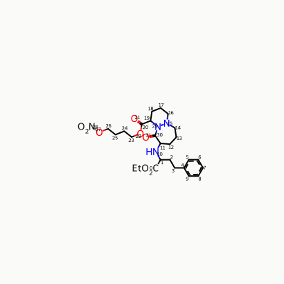 CCOC(=O)C(CCc1ccccc1)NC1CCCN2CCCC(C(=O)OCCCCO[N+](=O)[O-])N2C1=O